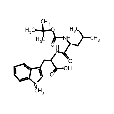 CC(C)C[C@H](NC(=O)OC(C)(C)C)C(=O)N[C@H](Cc1cn(C)c2ccccc12)C(=O)O